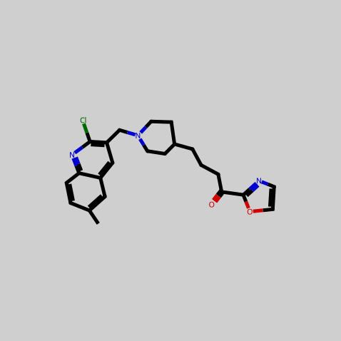 Cc1ccc2nc(Cl)c(CN3CCC(CCCC(=O)c4ncco4)CC3)cc2c1